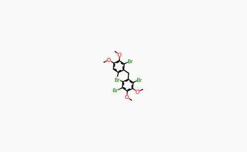 COc1cc(C)c(Cc2c(Br)c(Br)c(OC)c(OC)c2Br)c(Br)c1OC